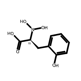 O=C(O)[C@H](Cc1ccccc1O)N(O)O